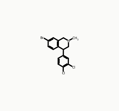 CN1Cc2cc(Br)ccc2C(c2ccc(Cl)c(Cl)c2)C1